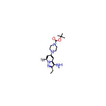 [2H]c1cc(N2CCN(C(=O)OC(C)(C)C)CC2)cc2c(NC)c(CC)nn12